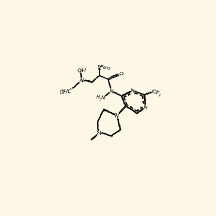 CCCCC[C@H](CN(O)C=O)C(=O)N(N)c1nc(C(F)(F)F)ncc1N1CCN(C)CC1